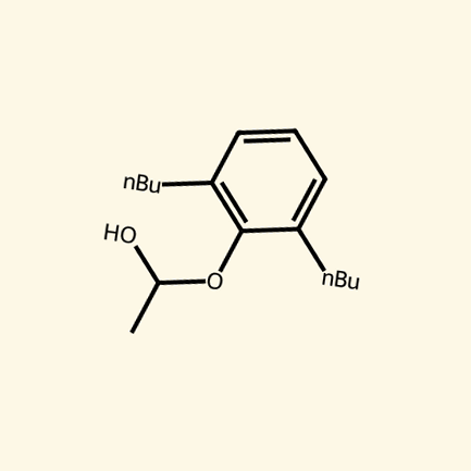 CCCCc1cccc(CCCC)c1OC(C)O